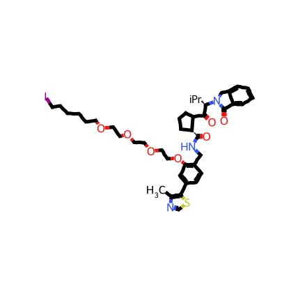 Cc1ncsc1-c1ccc(CNC(=O)[C@@H]2CCCC2C(=O)[C@H](C(C)C)N2Cc3ccccc3C2=O)c(OCCOCCOCCOCCCCCCI)c1